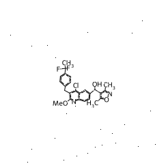 COc1nc2ccc(C(O)c3c(C)noc3C)cc2c(Cl)c1Cc1ccc(C(C)(F)F)cc1